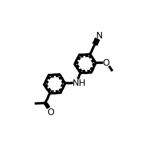 COc1cc(Nc2cccc(C(C)=O)c2)ccc1C#N